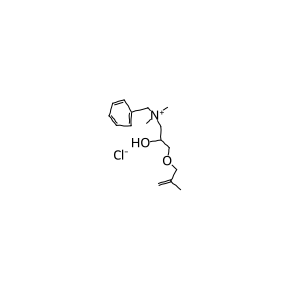 C=C(C)COCC(O)C[N+](C)(C)Cc1ccccc1.[Cl-]